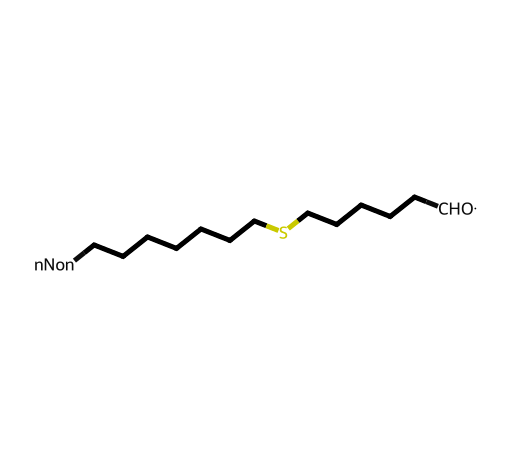 CCCCCCCCCCCCCCCCSCCCCC[C]=O